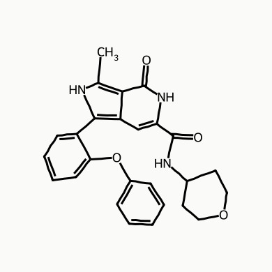 Cc1[nH]c(-c2ccccc2Oc2ccccc2)c2cc(C(=O)NC3CCOCC3)[nH]c(=O)c12